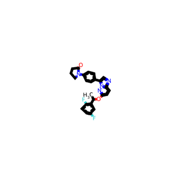 CC(Oc1ccc2ncc(-c3ccc(N4CCCC4=O)cc3)n2n1)c1cc(F)ccc1F